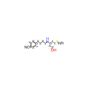 CCCSCCC(CCO)NCCCCc1ccc(C#N)cc1